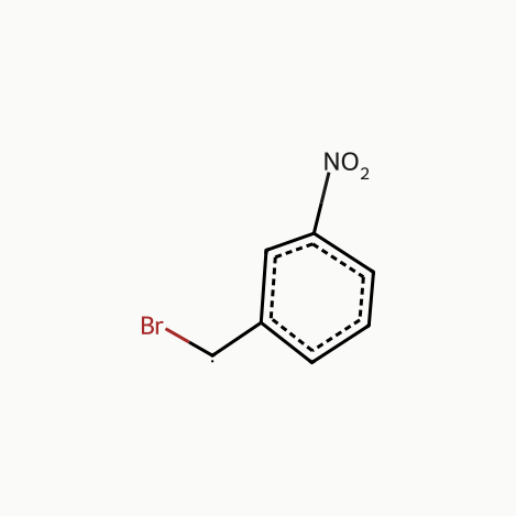 O=[N+]([O-])c1cccc([CH]Br)c1